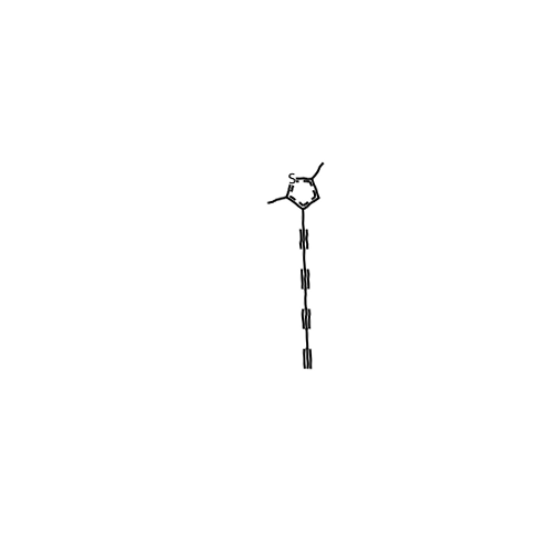 C#CC#CC#CC#Cc1cc(C)sc1C